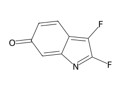 O=C1C=CC2=C(F)C(F)=NC2=C1